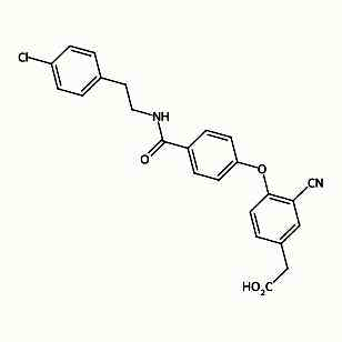 N#Cc1cc(CC(=O)O)ccc1Oc1ccc(C(=O)NCCc2ccc(Cl)cc2)cc1